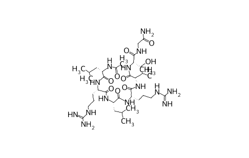 CC(=O)N[C@@H](CC(C)C)C(=O)N[C@@H](CCCNC(=N)N)C(=O)N[C@@H](CC(C)C)C(=O)N[C@@H](CCCNC(=N)N)C(=O)N[C@H](C(=O)N[C@@H](CO)C(=O)NCC(N)=O)C(C)C